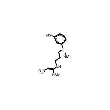 CCCc1cccc(OCCCNC(=C[N+](=O)[O-])NC)c1.CNC